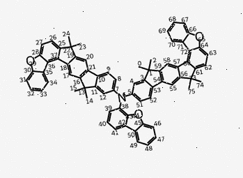 CC1(C)c2cc(N(c3ccc4c(c3)C(C)(C)c3cc5c(cc3-4)C(C)(C)c3ccc4oc6ccccc6c4c3-5)c3cccc4c3oc3ccccc34)ccc2-c2cc3c(cc21)-c1c(ccc2oc4ccccc4c12)C3(C)C